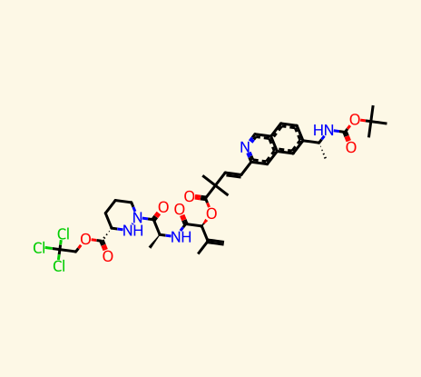 C=C(C)[C@H](OC(=O)C(C)(C)/C=C/c1cc2cc([C@@H](C)NC(=O)OC(C)(C)C)ccc2cn1)C(=O)N[C@@H](C)C(=O)N1CCC[C@@H](C(=O)OCC(Cl)(Cl)Cl)N1